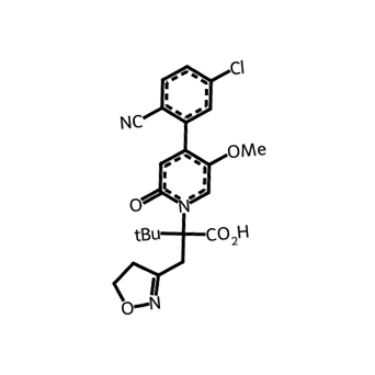 COc1cn(C(CC2=NOCC2)(C(=O)O)C(C)(C)C)c(=O)cc1-c1cc(Cl)ccc1C#N